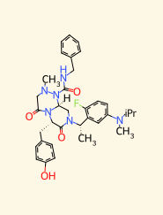 CC(C)N(C)c1ccc(F)c([C@H](C)N2C[C@H]3N(C(=O)CN(C)N3C(=O)NCc3ccccc3)[C@@H](Cc3ccc(O)cc3)C2=O)c1